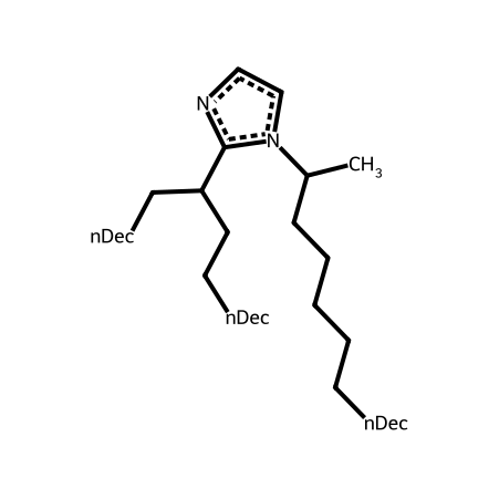 CCCCCCCCCCCCCCCC(C)n1ccnc1C(CCCCCCCCCCC)CCCCCCCCCCCC